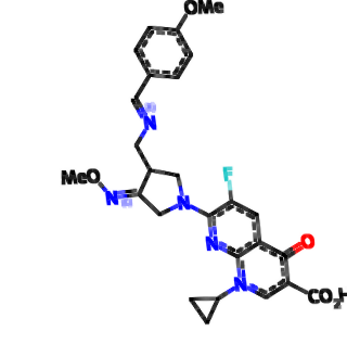 CO/N=C1/CN(c2nc3c(cc2F)c(=O)c(C(=O)O)cn3C2CC2)CC1C/N=C/c1ccc(OC)cc1